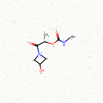 C[C@H](OC(=O)NC(C)(C)C)C(=O)N1CC(O)C1